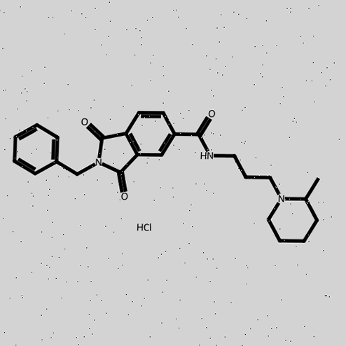 CC1CCCCN1CCCNC(=O)c1ccc2c(c1)C(=O)N(Cc1ccccc1)C2=O.Cl